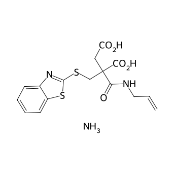 C=CCNC(=O)C(CSc1nc2ccccc2s1)(CC(=O)O)C(=O)O.N